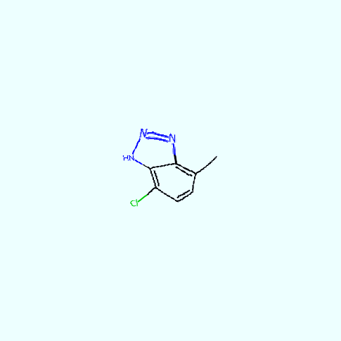 Cc1ccc(Cl)c2[nH]nnc12